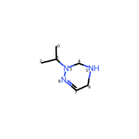 CC(C)N1CNCC=N1